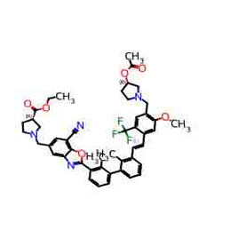 CCOC(=O)[C@@H]1CCN(Cc2cc(C#N)c3oc(-c4cccc(-c5cccc(/C=C/c6cc(OC)c(CN7CC[C@@H](OC(C)=O)C7)cc6C(F)(F)F)c5C)c4C)nc3c2)C1